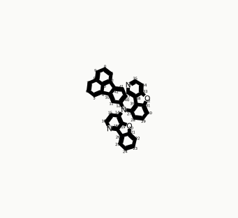 c1cc2c3c(cccc3c1)-c1cc(N(c3ccnc4c3oc3ccccc34)c3cccc4oc5ccncc5c34)ccc1-2